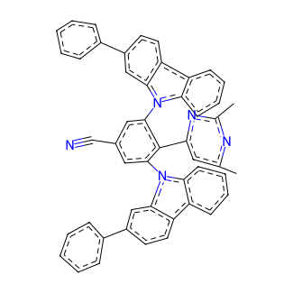 Cc1cc(-c2c(-n3c4ccccc4c4ccc(-c5ccccc5)cc43)cc(C#N)cc2-n2c3ccccc3c3ccc(-c4ccccc4)cc32)nc(C)n1